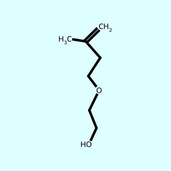 C=C(C)CCOCCO